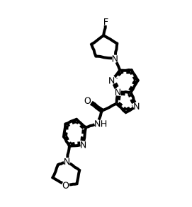 O=C(Nc1cccc(N2CCOCC2)n1)c1cnc2ccc(N3CCC(F)C3)nn12